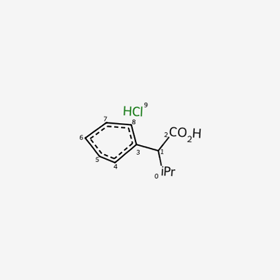 CC(C)C(C(=O)O)c1ccccc1.Cl